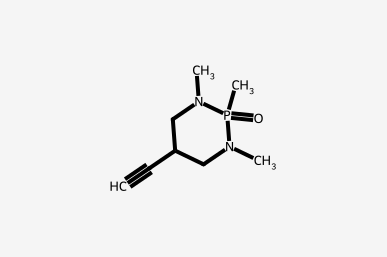 C#CC1CN(C)P(C)(=O)N(C)C1